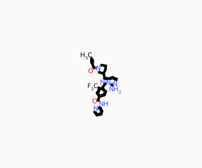 CC#CC(=O)N1CCCC(c2nc(-c3ccc(C(=O)Nc4ccccn4)cc3C(F)(F)F)n3c(N)nccc23)C1